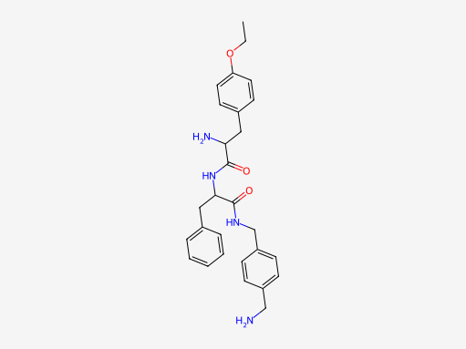 CCOc1ccc(CC(N)C(=O)NC(Cc2ccccc2)C(=O)NCc2ccc(CN)cc2)cc1